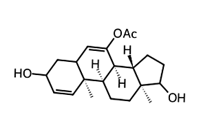 CC(=O)OC1=CC2CC(O)C=C[C@]2(C)[C@@H]2CC[C@]3(C)C(O)CC[C@H]3[C@H]12